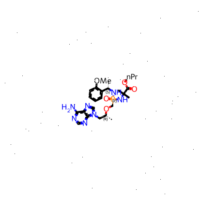 CCCOC(=O)C(C)(C)N[P@@](=O)(CO[C@H](C)Cn1cnc2c(N)ncnc21)N[C@@H](C)c1ccccc1OC